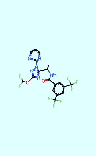 CC(NC(=O)c1cc(C(F)(F)F)cc(C(F)(F)F)c1)c1nc(OC(F)F)nn1-c1ncccn1